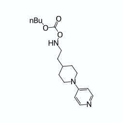 CCCCOC(=O)ONCCC1CCN(c2ccncc2)CC1